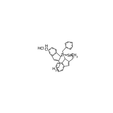 CCC1=Cc2ccccc2[CH]1[Zr](=[SiH2])([CH2]c1ccccc1)[CH]1C(CC)=Cc2ccccc21.Cl.Cl